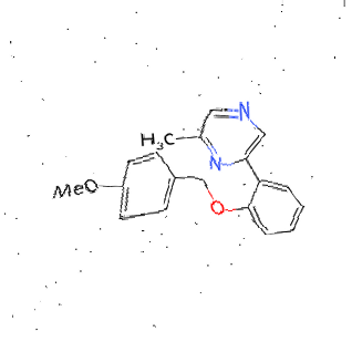 COc1ccc(COc2ccccc2-c2cncc(C)n2)cc1